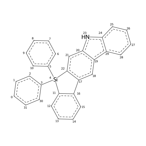 c1ccc([Si]2(c3ccccc3)c3ccccc3-c3cc4c(cc32)[nH]c2ccccc24)cc1